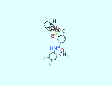 Cc1cc(F)c(F)cc1NC(=O)c1ccc(Cl)c(S(=O)(=O)C2CC3CC[C@@H](C2)[C@]3(C)O)c1